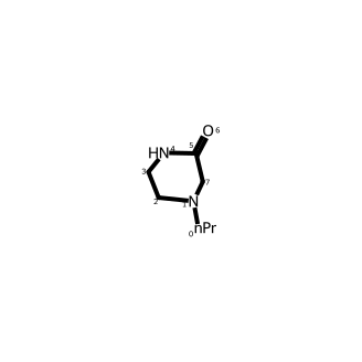 [CH2]CCN1CCNC(=O)C1